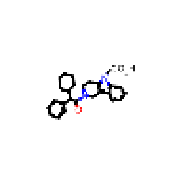 O=C(O)Cn1c2c(c3ccccc31)CN(C(=O)C(c1ccccc1)C1CCCCC1)CC2